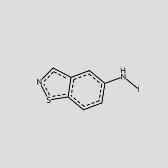 INc1ccc2sncc2c1